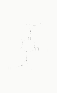 CC1OC1N1CCN(C2OC2C)CC1.F.F